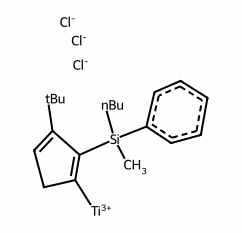 CCCC[Si](C)(C1=[C]([Ti+3])CC=C1C(C)(C)C)c1ccccc1.[Cl-].[Cl-].[Cl-]